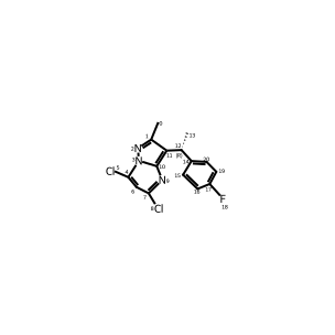 Cc1nn2c(Cl)cc(Cl)nc2c1[C@H](C)c1ccc(F)cc1